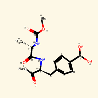 COC(=O)[C@H](Cc1ccc(B(O)O)cc1)NC(=O)[C@H](C)NC(=O)OC(C)(C)C